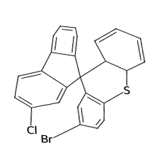 Clc1ccc2c(c1)C1(c3cc(Br)ccc3SC3C=CC=CC31)c1ccccc1-2